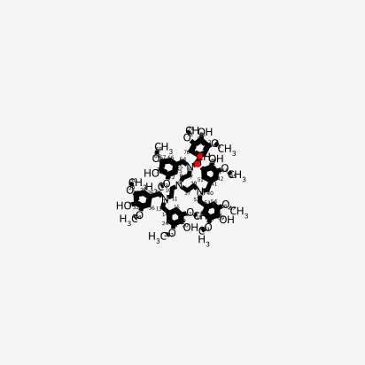 COc1cc(CN(CCN(CCN(Cc2cc(OC)c(O)c(OC)c2)Cc2cc(OC)c(O)c(OC)c2)CCN(Cc2cc(OC)c(O)c(OC)c2)Cc2cc(OC)c(O)c(OC)c2)Cc2cc(OC)c(O)c(OC)c2)cc(OC)c1O